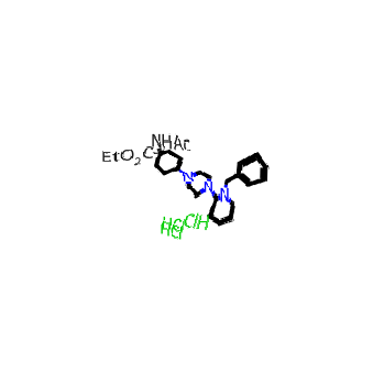 CCOC(=O)[C@]1(NC(C)=O)CC[C@@H](N2CCN(C3CCCCN3Cc3ccccc3)CC2)CC1.Cl.Cl.Cl